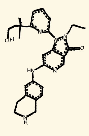 CCn1c(=O)c2cnc(Nc3ccc4c(c3)CCNC4)cc2n1-c1cccc(C(C)(C)CO)n1